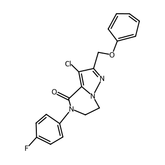 O=C1c2c(Cl)c(COc3ccccc3)nn2CCN1c1ccc(F)cc1